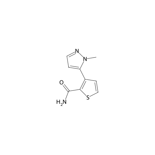 Cn1nccc1-c1ccsc1C(N)=O